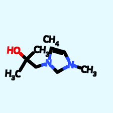 C.CN1C=CN(CC(C)(C)O)C1